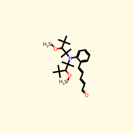 CC(C)(C)C(O[SiH3])C(C)(C)N(c1ccccc1C=CC=CC=O)C(C)(C)C(O[SiH3])C(C)(C)C